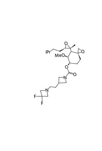 CO[C@H]1C([C@@]2(C)O[C@@H]2CCC(C)C)[C@]2(CC[C@H]1OC(=O)N1CC(CCN3CC(F)(F)C3)C1)CO2